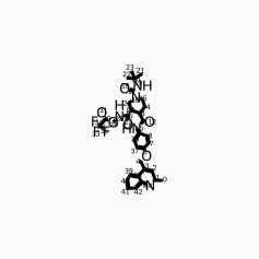 Cc1cc(COc2ccc(NC(=O)C3CCN(C(=O)NC(C)(C)C)C[C@@H]3C(=O)NOC(=O)C(F)(F)F)cc2)c2ccccc2n1